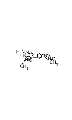 CCCCNc1nc(N)nc2ccn(Cc3ccc(CN4CCN(C(C)=O)CC4)cc3)c(=O)c12